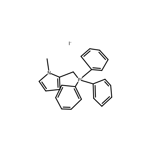 Cn1cccc1C[P+](c1ccccc1)(c1ccccc1)c1ccccc1.[I-]